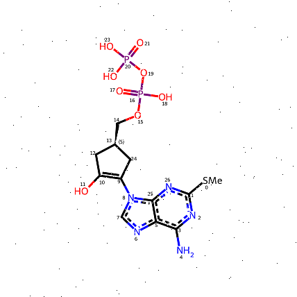 CSc1nc(N)c2ncn(C3=C(O)C[C@@H](COP(=O)(O)OP(=O)(O)O)C3)c2n1